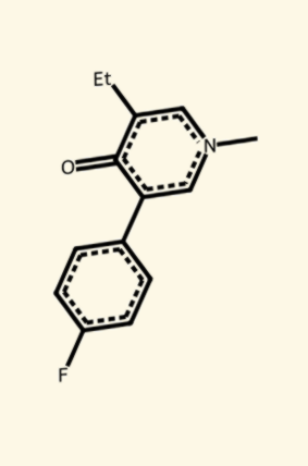 [CH2]Cc1cn(C)cc(-c2ccc(F)cc2)c1=O